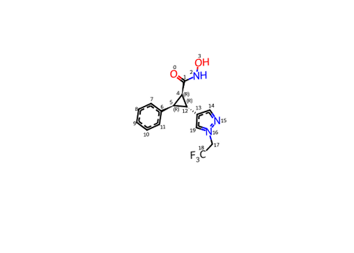 O=C(NO)[C@@H]1[C@H](c2ccccc2)[C@H]1c1cnn(CC(F)(F)F)c1